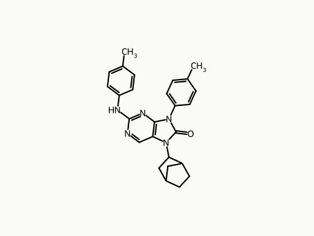 Cc1ccc(Nc2ncc3c(n2)n(-c2ccc(C)cc2)c(=O)n3C2CC3CCC2C3)cc1